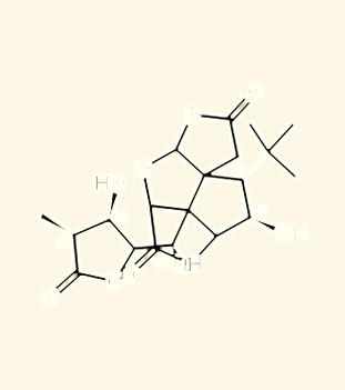 C[C@@H]1C(=O)OC([C@H](O)C23C4OC5OC(=O)CC52[C@H](C(C)(C)C)[C@@H](O)C3OC4=O)[C@@H]1O